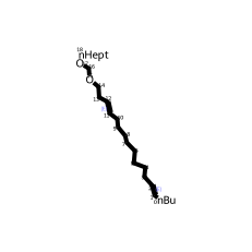 CCCC/C=C/CCCCCCCC/C=C/CCOCOCCCCCCC